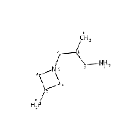 CC(CN)CN1CC(P)C1